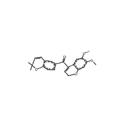 COc1cc2c(cc1OC)C(C(=O)c1ccc3c(c1)C=CC(C)(C)O3)=CCO2